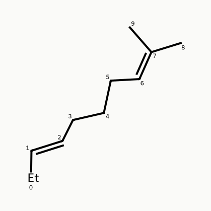 CCC=CCCCC=C(C)C